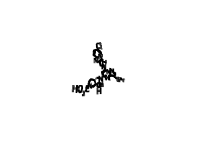 CC(C)c1cnn2c(NCc3cn4cc(Cl)ccc4n3)cc(NC[C@H]3CCN(C(=O)O)C[C@@H]3O)nc12